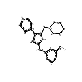 Cc1cccc(Nc2nc(-c3ccncc3)c(CN3CCCCC3)s2)c1